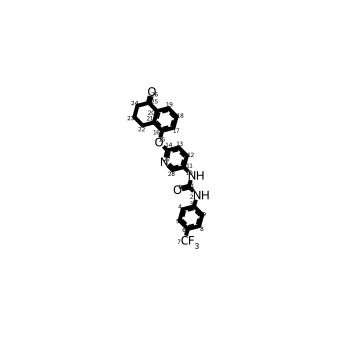 O=C(Nc1ccc(C(F)(F)F)cc1)Nc1ccc(Oc2cccc3c2CCCC3=O)nc1